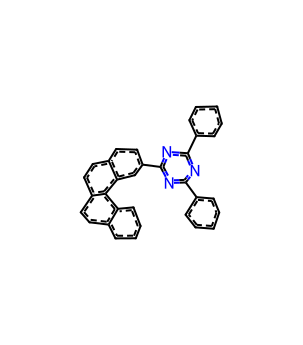 c1ccc(-c2nc(-c3ccccc3)nc(-c3ccc4ccc5ccc6ccccc6c5c4c3)n2)cc1